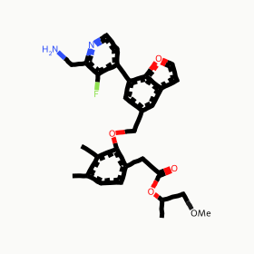 COCC(C)OC(=O)Cc1ccc(C)c(C)c1OCc1cc(-c2ccnc(CN)c2F)c2occc2c1